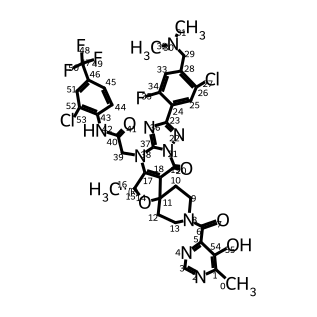 Cc1ncnc(C(=O)N2CCC3(CC2)O[C@H](C)c2c3c(=O)n3nc(-c4cc(Cl)c(CN(C)C)cc4F)nc3n2CC(=O)Nc2ccc(C(F)(F)F)cc2Cl)c1O